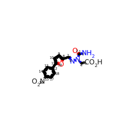 NC(=O)N(CC(=O)O)N=Cc1ccc(-c2ccc([N+](=O)[O-])cc2)o1